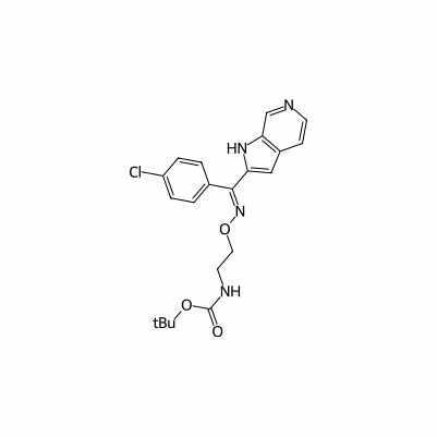 CC(C)(C)OC(=O)NCCON=C(c1ccc(Cl)cc1)c1cc2ccncc2[nH]1